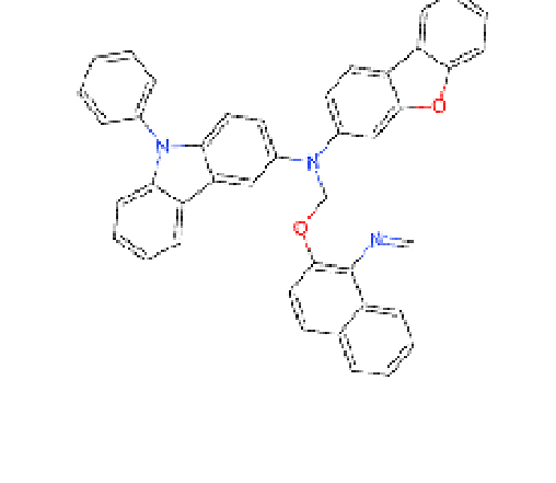 C=Nc1c(OCN(c2ccc3c(c2)oc2ccccc23)c2ccc3c(c2)c2ccccc2n3-c2ccccc2)ccc2ccccc12